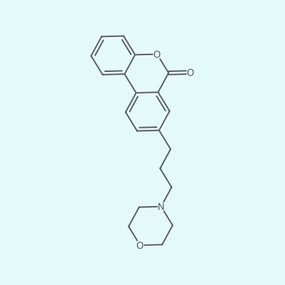 O=c1oc2ccccc2c2ccc(CCCN3CCOCC3)cc12